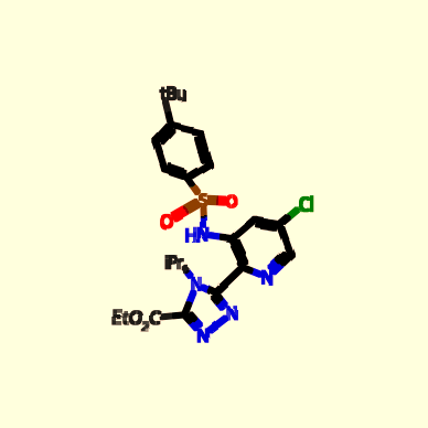 CCOC(=O)c1nnc(-c2ncc(Cl)cc2NS(=O)(=O)c2ccc(C(C)(C)C)cc2)n1C(C)C